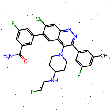 Cc1cc(F)cc(-c2nnc3cc(Cl)c(-c4cc(F)cc(C(N)=O)c4)cc3c2N2CCC(NCCF)CC2)c1